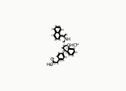 CC(NC[C@H]1C[C@H](c2ccc(CC(=O)O)cc2)c2ccccc2O1)c1cccc2ccccc12.Cl